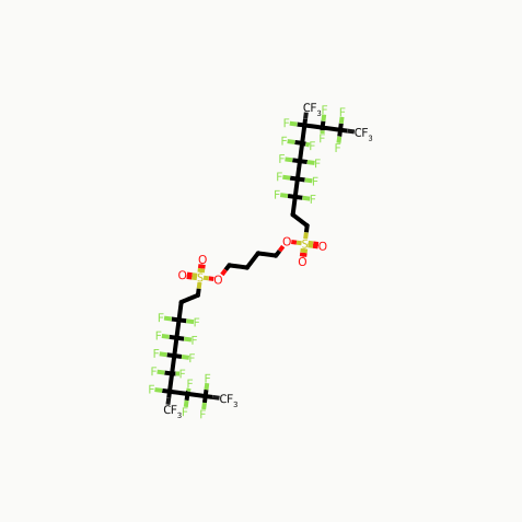 O=S(=O)(CCC(F)(F)C(F)(F)C(F)(F)C(F)(F)C(F)(C(F)(F)F)C(F)(F)C(F)(F)C(F)(F)F)OCCCCOS(=O)(=O)CCC(F)(F)C(F)(F)C(F)(F)C(F)(F)C(F)(C(F)(F)F)C(F)(F)C(F)(F)C(F)(F)F